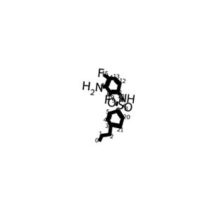 CCCc1ccc(S(=O)(=O)Nc2ccc(F)c(N)c2F)cc1